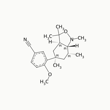 COc1ccc(C#N)cc1[C@]1(C)C[C@@H](C)[C@@H]2[C@@H](C1)C(C)(C)ON2C